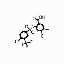 O=C(O)c1cc(F)c(Cl)cc1NS(=O)(=O)c1ccc(Cl)c(C(F)(F)F)c1